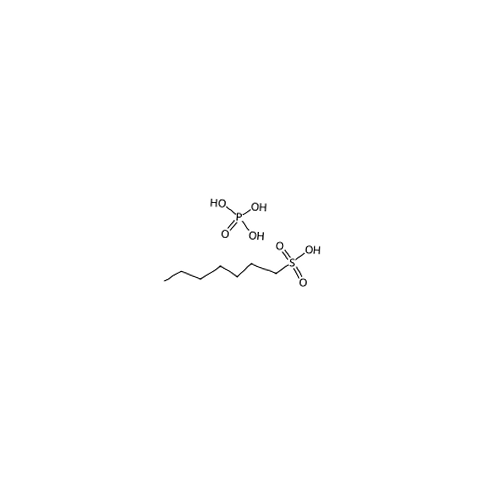 CCCCCCCS(=O)(=O)O.O=P(O)(O)O